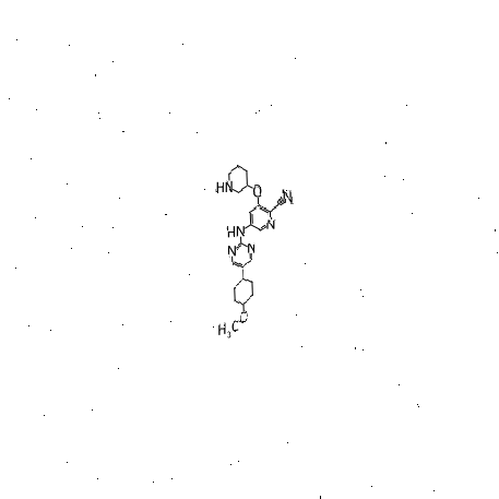 COC1CCC(c2cnc(Nc3cnc(C#N)c(OC4CCCNC4)c3)nc2)CC1